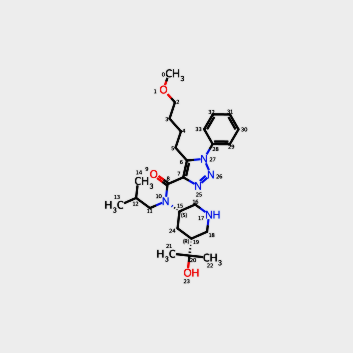 COCCCCc1c(C(=O)N(CC(C)C)[C@@H]2CNC[C@H](C(C)(C)O)C2)nnn1-c1ccccc1